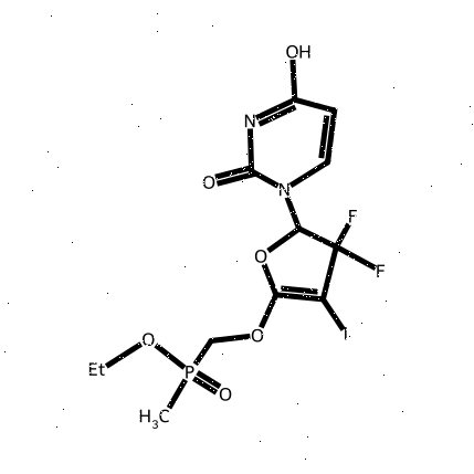 CCOP(C)(=O)COC1=C(I)C(F)(F)C(n2ccc(O)nc2=O)O1